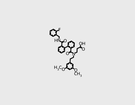 COc1cc(CCN(CCC(=O)O)C(=O)c2ccccc2-c2ccccc2C(=O)NCc2ccccc2F)cc(OC)c1